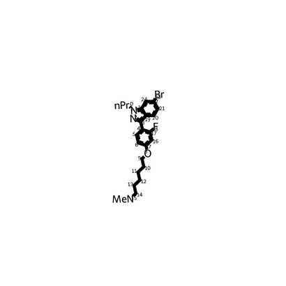 CCCn1nc(-c2ccc(OCCCCCCNC)cc2F)c2ccc(Br)cc21